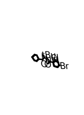 CC(C)(C)N(NC(=O)c1ccc(Br)cc1Cl)C(=O)c1ccccc1